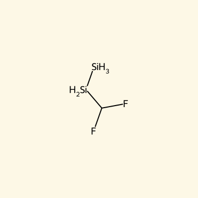 FC(F)[SiH2][SiH3]